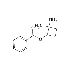 CC1(N)CCC1OC(=O)c1ccccc1